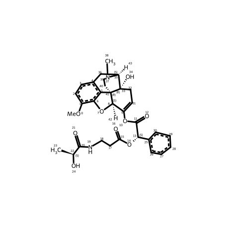 COc1ccc2c3c1O[C@@H]1C(OC(=O)[C@@H](OC(=O)CCNC(=O)[C@H](C)O)c4ccccc4)=CC[C@]4(O)[C@H](C2)N(C)CC[C@@]314